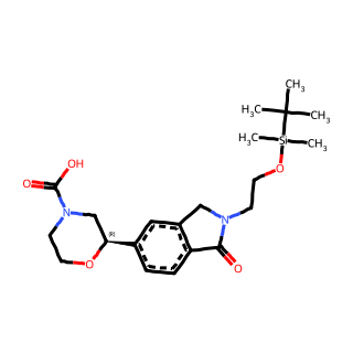 CC(C)(C)[Si](C)(C)OCCN1Cc2cc([C@@H]3CN(C(=O)O)CCO3)ccc2C1=O